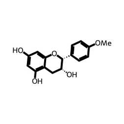 COc1ccc([C@H]2Oc3cc(O)cc(O)c3C[C@H]2O)cc1